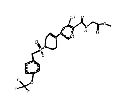 COC(=O)CNC(=O)c1ncc(C2=CCN(S(=O)(=O)Cc3ccc(OC(F)(F)F)cc3)CC2)cc1O